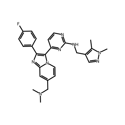 Cc1c(CNc2nccc(-c3c(-c4ccc(F)cc4)nc4cc(CN(C)C)ccn34)n2)cnn1C